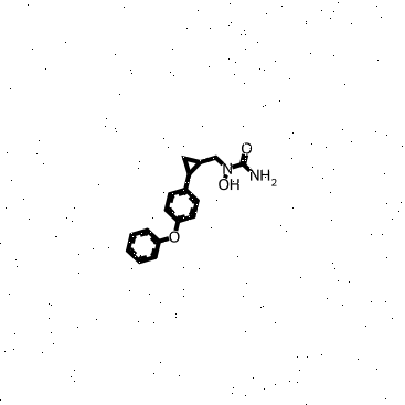 NC(=O)N(O)CC1CC1c1ccc(Oc2ccccc2)cc1